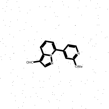 COc1cc(-c2cccc3c(C=O)cnn23)ccn1